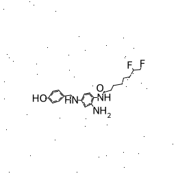 Nc1cc(NCc2ccc(O)cc2)ccc1NC(=O)CCCCCC(F)CF